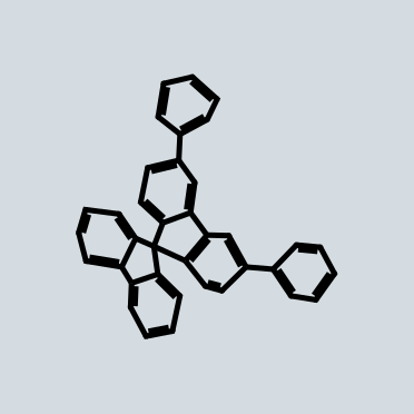 c1ccc(-c2ccc3c(c2)-c2cc(-c4ccccc4)ccc2C32c3ccccc3-c3ccccc32)cc1